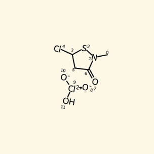 CN1SC(Cl)CC1=O.[O-][Cl+2]([O-])O